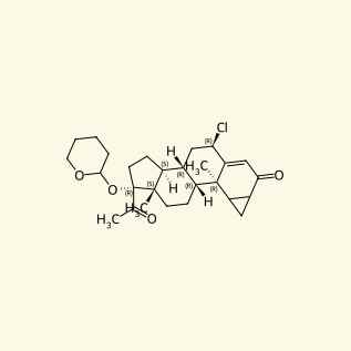 CC(=O)[C@@]1(OC2CCCCO2)CC[C@H]2[C@@H]3C[C@@H](Cl)C4=CC(=O)C5CC5[C@@]4(C)[C@@H]3CC[C@@]21C